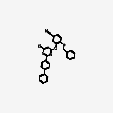 N#Cc1ccc(OCc2ccccc2)c(Oc2cc(Cl)nc(-c3ccc(-c4ccccc4)cc3)n2)c1